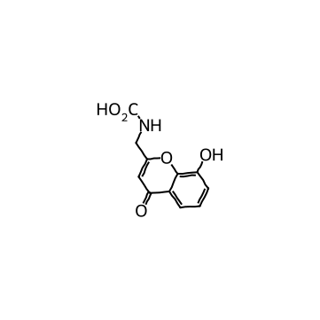 O=C(O)NCc1cc(=O)c2cccc(O)c2o1